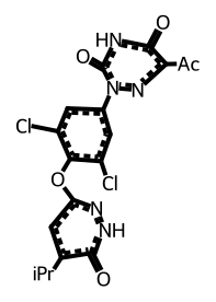 CC(=O)c1nn(-c2cc(Cl)c(Oc3cc(C(C)C)c(=O)[nH]n3)c(Cl)c2)c(=O)[nH]c1=O